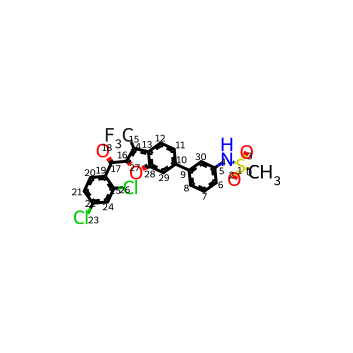 CS(=O)(=O)Nc1cccc(-c2ccc3c(C(F)(F)F)c(C(=O)c4ccc(Cl)cc4Cl)oc3c2)c1